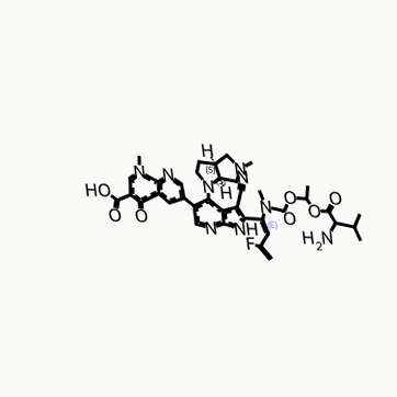 C=C(F)/C=C(\c1[nH]c2ncc(-c3cnc4c(c3)c(=O)c(C(=O)O)cn4C)c(N3CC[C@H]4CN(C)C[C@H]43)c2c1C#N)N(C)C(=O)OC(C)OC(=O)C(N)C(C)C